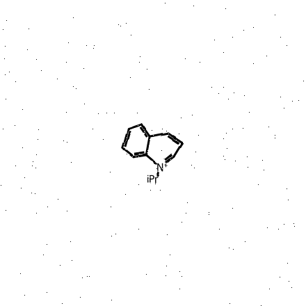 CC(C)[n+]1cccc2ccccc21